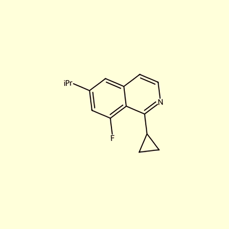 CC(C)c1cc(F)c2c(C3CC3)nccc2c1